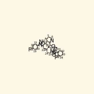 O=C(c1ccccn1)C12Cc3cnn(-c4ccc(F)cc4)c3C=C1CCN(S(=O)(=O)c1ccccc1F)C2